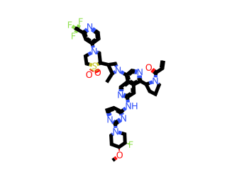 C=CC(=O)N1CCCC1c1ncc(N2CC(C3CN(c4ccnc(C(F)(F)F)c4)CCS3(=O)=O)C2C)c2cnc(Nc3ccnc(N4CC[C@@H](OC)[C@@H](F)C4)n3)cc12